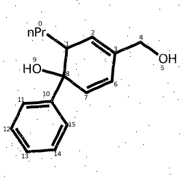 CCCC1C=C(CO)C=CC1(O)c1ccccc1